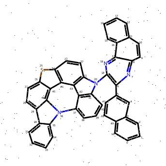 c1ccc2cc(-c3nc4ccc5ccccc5c4nc3-n3c4ccc5sc6ccc7c8ccccc8n8c9cccc3c9c4c5c6c78)ccc2c1